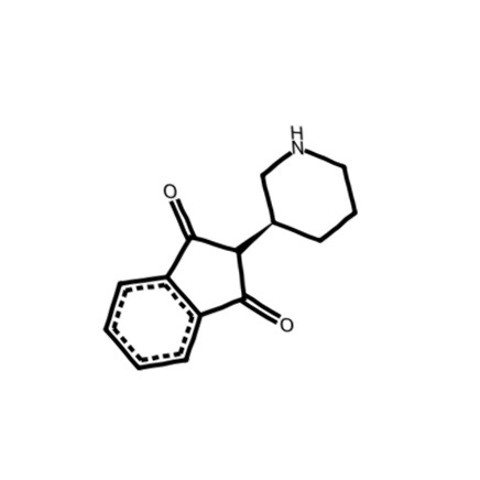 O=C1c2ccccc2C(=O)C1[C@@H]1CCCNC1